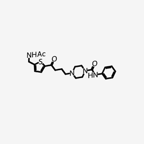 CC(=O)NCc1ccc(C(=O)CCCN2CCN(C(=O)Nc3ccccc3)CC2)s1